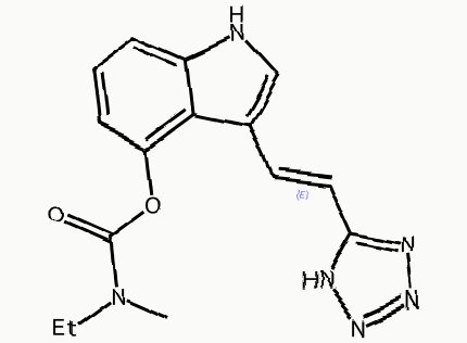 CCN(C)C(=O)Oc1cccc2[nH]cc(/C=C/c3nnn[nH]3)c12